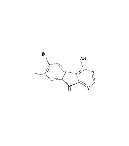 Cc1cc2[nH]c3ncnc(N)c3c2cc1Br